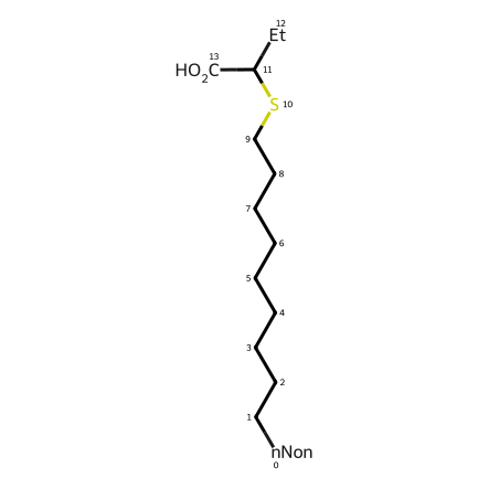 CCCCCCCCCCCCCCCCCCSC(CC)C(=O)O